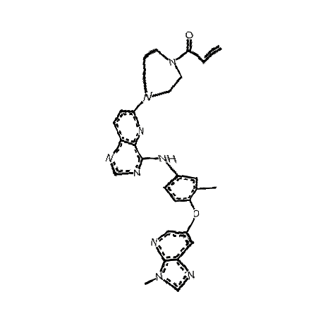 C=CC(=O)N1CCCN(c2ccc3ncnc(Nc4ccc(Oc5cnc6c(c5)ncn6C)c(C)c4)c3n2)CC1